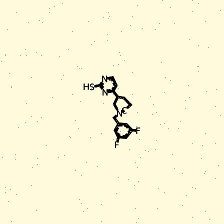 Fc1cc(F)cc(CN2CCCC(c3ccnc(S)n3)C2)c1